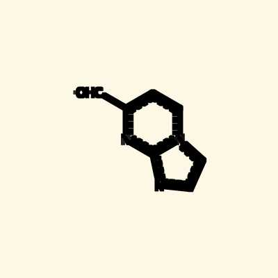 O=[C]c1ccn2ccnc2n1